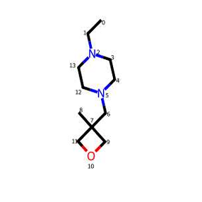 CCN1CCN(CC2(C)COC2)CC1